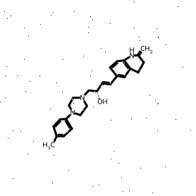 C=C1CCc2cc(/C=C/[C@H](O)CN3CCN(c4ccc(C)cc4)CC3)ccc2N1